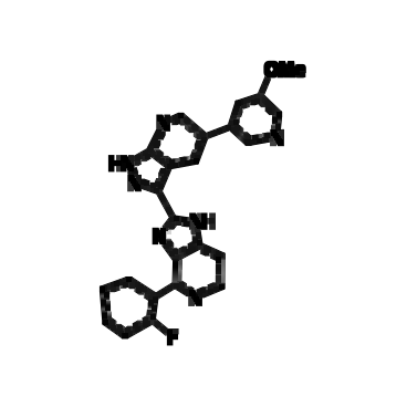 COc1cncc(-c2cnc3[nH]nc(-c4nc5c(-c6ccccc6F)nccc5[nH]4)c3c2)c1